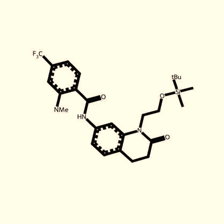 CNc1cc(C(F)(F)F)ccc1C(=O)Nc1ccc2c(c1)N(CCO[Si](C)(C)C(C)(C)C)C(=O)CC2